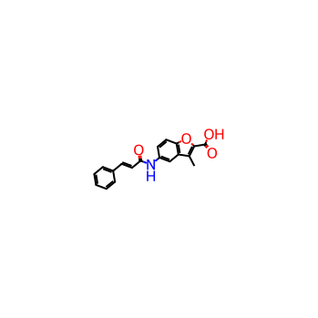 Cc1c(C(=O)O)oc2ccc(NC(=O)/C=C/c3ccccc3)cc12